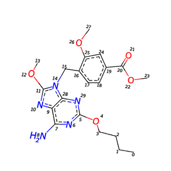 CCCCOc1nc(N)c2nc(OC)n(Cc3ccc(C(=O)OC)cc3OC)c2n1